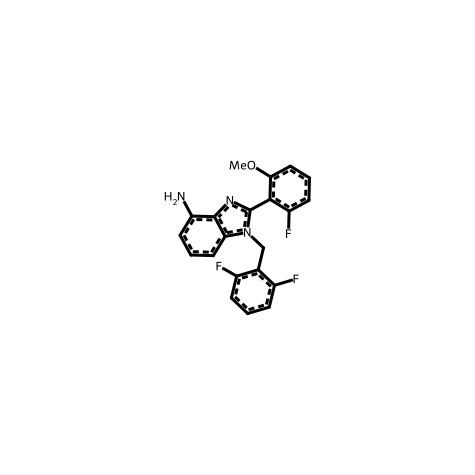 COc1cccc(F)c1-c1nc2c(N)cccc2n1Cc1c(F)cccc1F